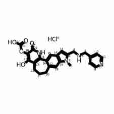 Cl.Cn1c(CNCc2ccncc2)cc2cc3c(cc21)CCCc1c-3[nH]c(=O)c(OC(=O)O)c1O